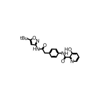 CC(C)(C)c1cc(NC(=O)Cc2ccc(NC(=O)c3ncccc3O)cc2)no1